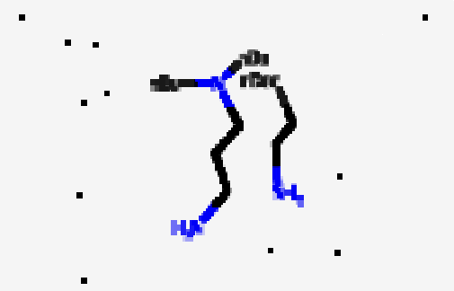 CCCCCCCCCCCCN.CCCCN(CCCC)CCCN